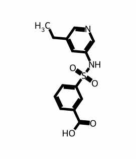 CCc1cncc(NS(=O)(=O)c2cccc(C(=O)O)c2)c1